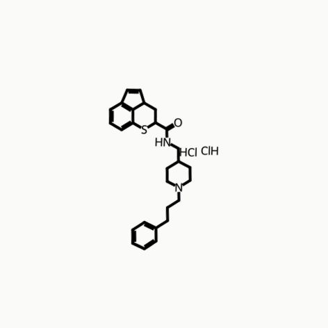 Cl.Cl.O=C(NCC1CCN(CCCc2ccccc2)CC1)C1CC2C=Cc3cccc(c32)S1